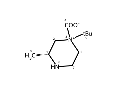 C[C@@H]1C[N+](C(=O)[O-])(C(C)(C)C)CCN1